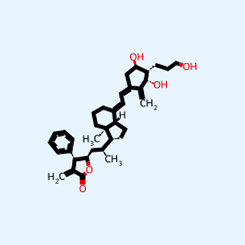 C=C1/C(=C\C=C2/CCC[C@]3(C)[C@@H]([C@H](C)C[C@H]4OC(=O)C(=C)[C@@H]4c4ccccc4)CC[C@@H]23)C[C@@H](O)[C@H](CCCO)[C@@H]1O